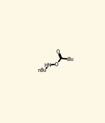 CCCCNOC(=O)C(C)CC